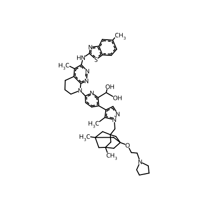 Cc1ccc2sc(Nc3nnc4c(c3C)CCCN4c3ccc(-c4cnn(CC56CC7(C)CC(C)(C5)CC(OCCN5CCCC5)(C7)C6)c4C)c(C(O)O)n3)nc2c1